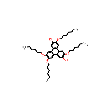 CCCCCCOc1cc2c(cc1O)c1cc(OCCCCCC)c(OCCCCCC)cc1c1cc(O)c(OCCCCCC)cc12